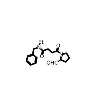 CCN(Cc1ccccc1)C(=O)CCC(=O)N1CCC[C@H]1C=O